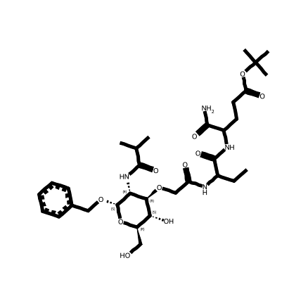 CCC(NC(=O)CO[C@H]1[C@H](O)[C@@H](CO)O[C@H](OCc2ccccc2)[C@@H]1NC(=O)C(C)C)C(=O)NC(CCC(=O)OC(C)(C)C)C(N)=O